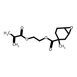 C=C(C)C(=O)OCCOC(=O)C1(C)CCC2OC2C1